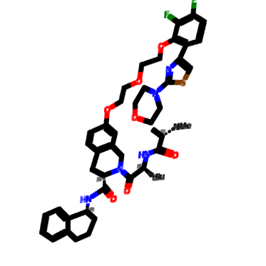 CN[C@@H](C)C(=O)N[C@H](C(=O)N1Cc2cc(OCCOCCOc3c(-c4csc(N5CCOCC5)n4)ccc(F)c3F)ccc2C[C@H]1C(=O)N[C@@H]1CCCc2ccccc21)C(C)(C)C